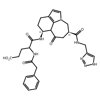 O=C(O)CCC(NC(=O)Cc1ccccc1)C(=O)N[C@H]1CCc2ccn3c2C1C(=O)C[C@H](C(=O)NCc1c[nH]nn1)C3